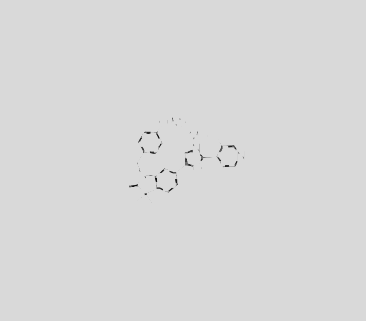 COc1ccc(CN2C(=O)C(C)(C)c3ccc(-c4cnc(-c5ccncc5OC)o4)cc32)cc1